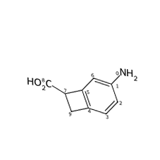 Nc1ccc2c(c1)C(C(=O)O)C2